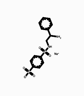 NC(CNS(=O)(=O)c1ccc(S(=O)(=O)[O-])cc1)c1ccccc1.[Na+]